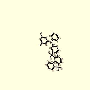 Cc1cc(C)cc(N(c2ccccc2)c2ccc3c(c2)C(C)(C)c2c-3ccc3c2-c2ccccc2C3(C)C)c1